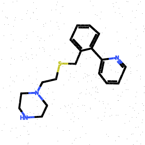 c1ccc(-c2ccccc2CSCCN2CCNCC2)nc1